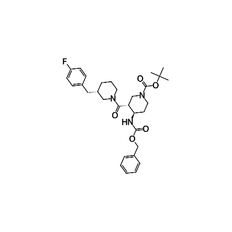 CC(C)(C)OC(=O)N1CC[C@@H](NC(=O)OCc2ccccc2)[C@H](C(=O)N2CCC[C@@H](Cc3ccc(F)cc3)C2)C1